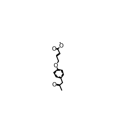 COC(=O)C=CCOc1ccc(CC(C)=O)cc1